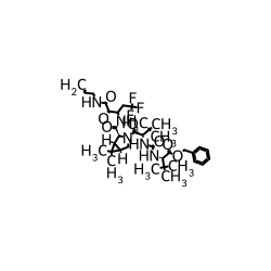 C=CCNC(=O)C(=O)C(CC(F)(F)F)NC(=O)[C@@H]1[C@@H]2[C@H](CN1C(=O)[C@@H](NC(=O)N[C@H](C(=O)OCc1ccccc1)C(C)(C)C)C(C)(C)C)C2(C)C